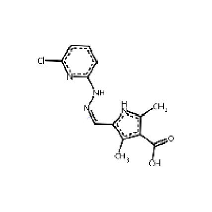 Cc1[nH]c(/C=N\Nc2cccc(Cl)n2)c(C)c1C(=O)O